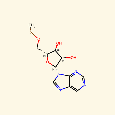 CSOC[C@H]1O[C@@H](n2cnc3cncnc32)[C@H](O)[C@@H]1O